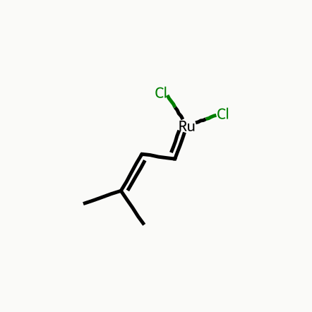 CC(C)=C[CH]=[Ru]([Cl])[Cl]